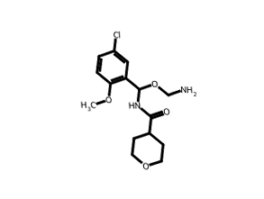 COc1ccc(Cl)cc1C(NC(=O)C1CCOCC1)OCN